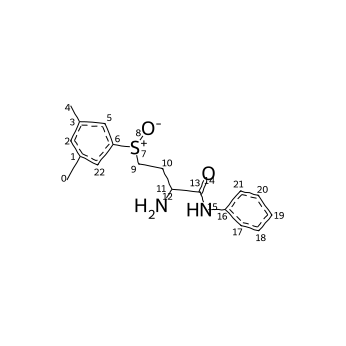 Cc1cc(C)cc([S+]([O-])CCC(N)C(=O)Nc2ccccc2)c1